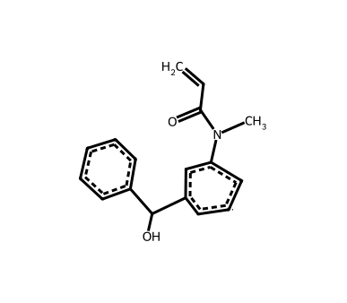 C=CC(=O)N(C)c1c[c]cc(C(O)c2ccccc2)c1